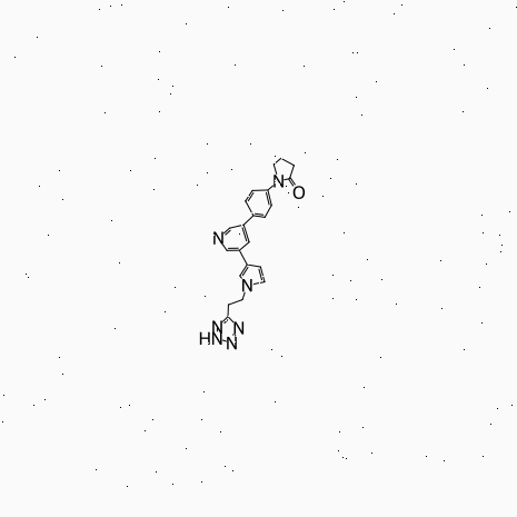 O=C1CCCN1c1ccc(-c2cncc(-c3ccn(CCc4nn[nH]n4)c3)c2)cc1